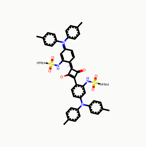 CCCCCCS(=O)(=O)NC1=CC(=[N+](c2ccc(C)cc2)c2ccc(C)cc2)C=C/C1=C1\C(=O)C(c2ccc(N(c3ccc(C)cc3)c3ccc(C)cc3)cc2NS(=O)(=O)CCCCCC)=C1[O-]